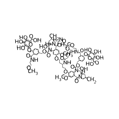 C=C1C[C@H]2C(O)N(C(=O)OCc3ccc(O[C@@H]4O[C@H](C(=O)O)[C@@H](O)[C@H](O)[C@H]4O)c(C(=O)NCCOC)c3)c3cc(OCCC(CCOc4cc5c(cc4OC)C(=O)N4CC(=C)C[C@H]4C(O)N5C(=O)OCc4ccc(O[C@@H]5O[C@H](C(=O)O)[C@@H](O)[C@H](O)[C@H]5O)c(C(=O)NCCOC)c4)NC(=O)COCCOCCON)c(OC)cc3C(=O)N2C1